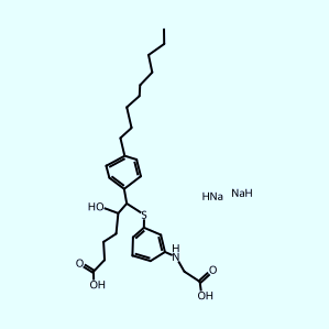 CCCCCCCCCc1ccc(C(Sc2cccc(NCC(=O)O)c2)C(O)CCCC(=O)O)cc1.[NaH].[NaH]